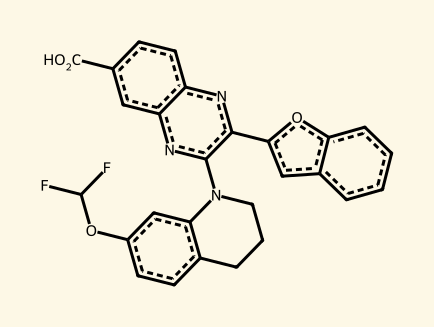 O=C(O)c1ccc2nc(-c3cc4ccccc4o3)c(N3CCCc4ccc(OC(F)F)cc43)nc2c1